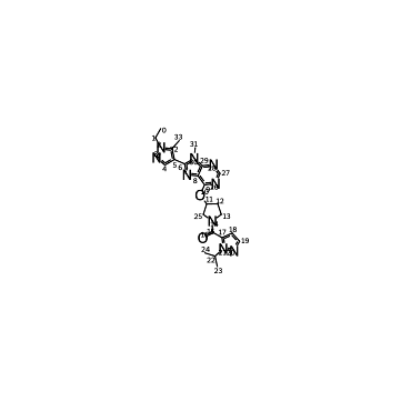 CCn1ncc(-c2nc3c(OC4CCN(C(=O)c5ccnn5C(C)C)C4)ncnc3n2C)c1C